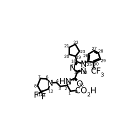 O=C(O)CC(CCN1CCCC(F)(F)C1)NC(=O)c1nc(C2CCCC2)n(-c2ccccc2C(F)(F)F)n1